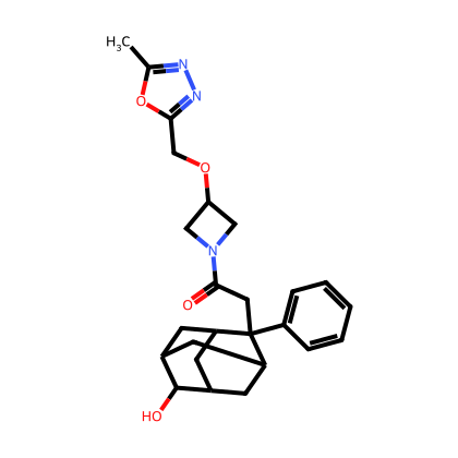 Cc1nnc(COC2CN(C(=O)CC3(c4ccccc4)C4CC5CC3CC(C4)C5O)C2)o1